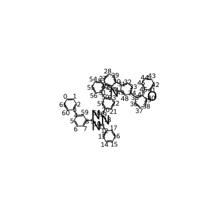 c1ccc(-c2cccc(-c3nc(-c4ccccc4)nc(-c4ccc(-n5c6ccccc6c6ccc(-c7cccc8oc9ccccc9c78)cc65)c(-c5ccccc5)c4)n3)c2)cc1